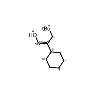 CC(C)(C)CC(=NO)C1CCCCC1